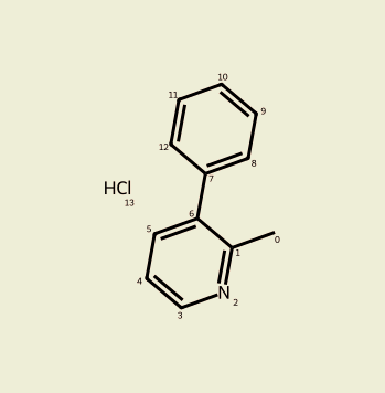 Cc1ncccc1-c1ccccc1.Cl